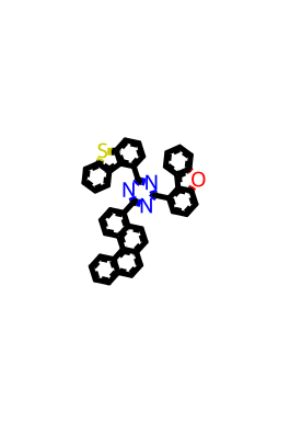 c1ccc2c(c1)ccc1ccc3c(-c4nc(-c5cccc6oc7ccccc7c56)nc(-c5cccc6sc7ccccc7c56)n4)cccc3c12